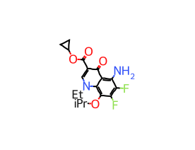 CCn1cc(C(=O)OC2CC2)c(=O)c2c(N)c(F)c(F)c(OC(C)C)c21